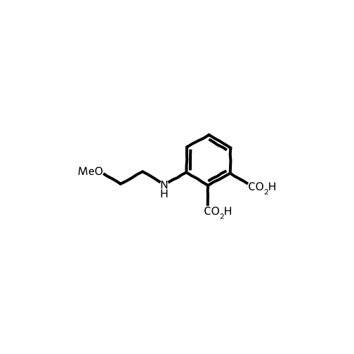 COCCNc1cccc(C(=O)O)c1C(=O)O